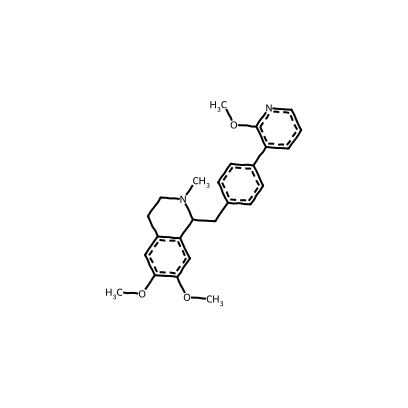 COc1cc2c(cc1OC)C(Cc1ccc(-c3cccnc3OC)cc1)N(C)CC2